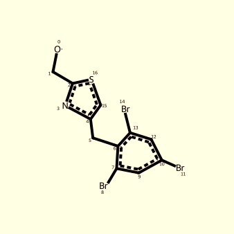 [O]Cc1nc(Cc2c(Br)cc(Br)cc2Br)cs1